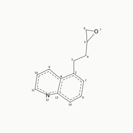 c1cc(CCC2CO2)c2cccnc2c1